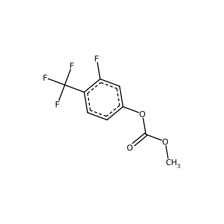 COC(=O)Oc1ccc(C(F)(F)F)c(F)c1